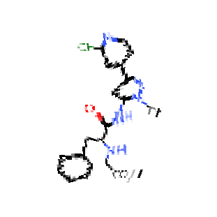 CCn1nc(-c2ccnc(Cl)c2)cc1NC(=O)C(Cc1ccccc1)NCC(=O)O